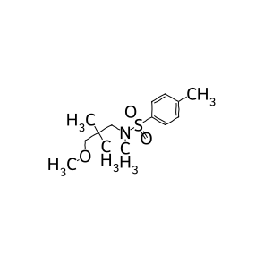 COCC(C)(C)CN(C)S(=O)(=O)c1ccc(C)cc1